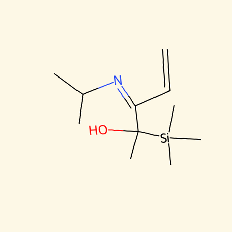 C=CC(=NC(C)C)C(C)(O)[Si](C)(C)C